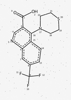 O=C(O)c1cnc2cc(C(F)(F)F)ccc2c1N1CCSCC1